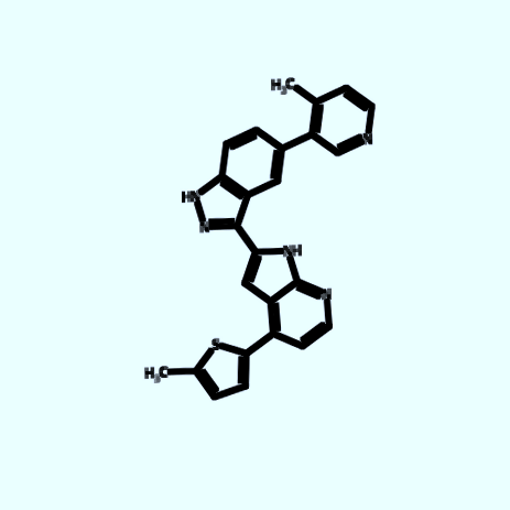 Cc1ccc(-c2ccnc3[nH]c(-c4n[nH]c5ccc(-c6cnccc6C)cc45)cc23)s1